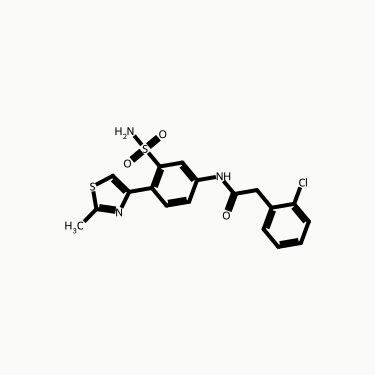 Cc1nc(-c2ccc(NC(=O)Cc3ccccc3Cl)cc2S(N)(=O)=O)cs1